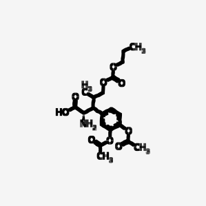 CCCOC(=O)OCC(C)C(c1ccc(OC(C)=O)c(OC(C)=O)c1)[C@H](N)C(=O)O